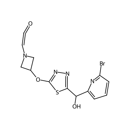 O=C=CN1CC(Oc2nnc(C(O)c3cccc(Br)n3)s2)C1